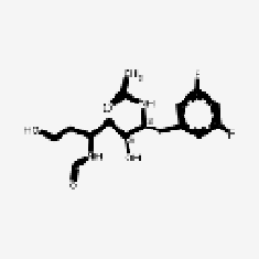 CC(=O)N[C@@H](Cc1cc(F)cc(F)c1)[C@@H](O)CC(CCO)NC=O